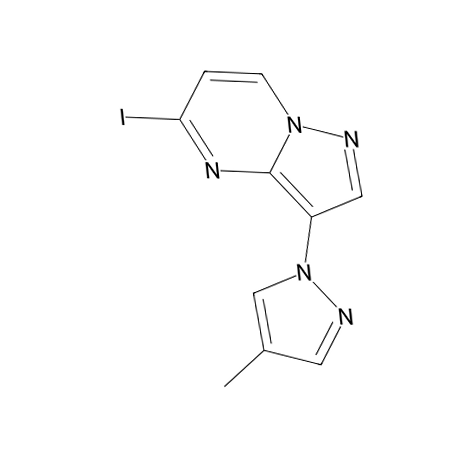 Cc1cnn(-c2cnn3ccc(I)nc23)c1